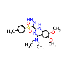 CCN(CC)C1=N/C(=C(/N=N)S(=O)(=O)c2ccc(C)cc2)Nc2cc(OC)c(OC)cc21